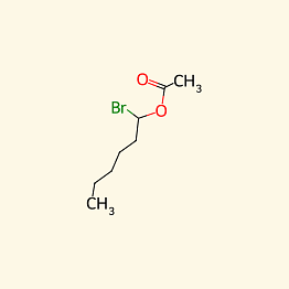 CCCCCC(Br)OC(C)=O